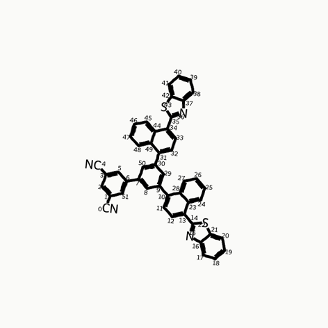 N#Cc1cc(C#N)cc(-c2cc(-c3ccc(-c4nc5ccccc5s4)c4ccccc34)cc(-c3ccc(-c4nc5ccccc5s4)c4ccccc34)c2)c1